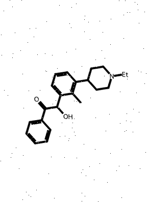 CCN1CCC(c2cccc(C(O)C(=O)c3ccccc3)c2C)CC1